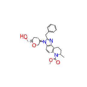 COC(=O)N1c2ccc3c(nc(Cc4ccccc4)n3[C@@H]3CC[C@@H](CO)OC3)c2CCC1C